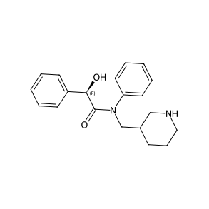 O=C([C@H](O)c1ccccc1)N(CC1CCCNC1)c1ccccc1